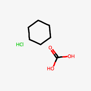 C1CCCCC1.Cl.O=C(O)O